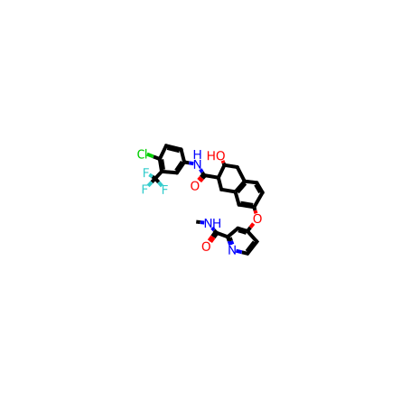 CNC(=O)c1cc(Oc2ccc3c(c2)CC(C(=O)Nc2ccc(Cl)c(C(F)(F)F)c2)C(O)C3)ccn1